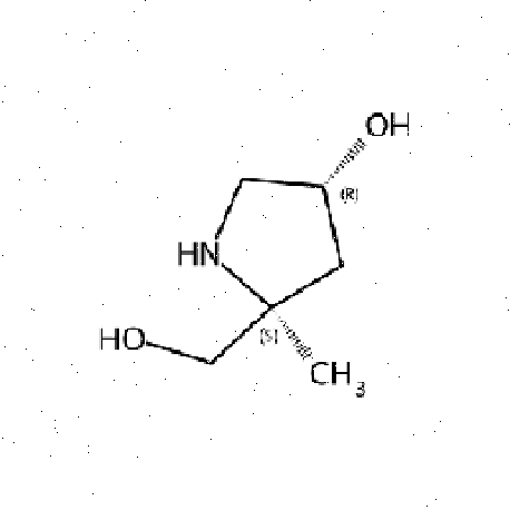 C[C@@]1(CO)C[C@@H](O)CN1